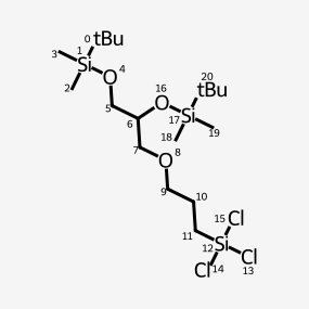 CC(C)(C)[Si](C)(C)OCC(COCCC[Si](Cl)(Cl)Cl)O[Si](C)(C)C(C)(C)C